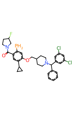 O=C(c1cc(C2CC2)c(OCC2CCN(C(c3ccccc3)c3cc(Cl)cc(Cl)c3)CC2)cc1P)N1CCC(F)C1